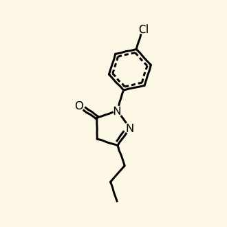 CCCC1=NN(c2ccc(Cl)cc2)C(=O)C1